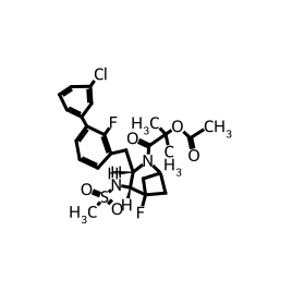 CC(=O)OC(C)(C)C(=O)N1C2CC(F)(C2)[C@H](NS(C)(=O)=O)[C@@H]1Cc1cccc(-c2cccc(Cl)c2)c1F